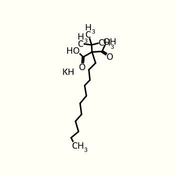 CCCCCCCCCCCC(C(=O)O)(C(=O)O)C(C)(C)C.[KH]